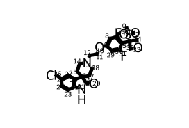 CS(=O)(=O)C1(c2c(F)cc(OCCN3CCC4(CC3)C(=O)Nc3ccc(Cl)cc34)cc2F)COC1